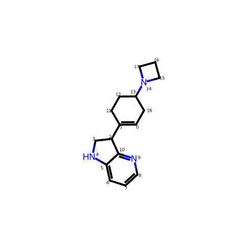 C1=C(C2CNc3cccnc32)CCC(N2CCC2)C1